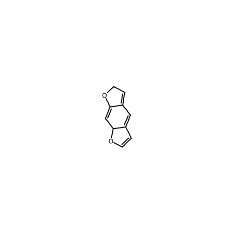 C1=CC2=CC3=CCOC3=CC2O1